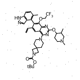 C=Cc1cc2c(N3CCC4(CC3)CN(C(=O)OC(C)(C)C)C4)nc(OC3CCN(C)CC3C)nc2c(OCC(F)(F)F)c1-c1c(C)ccc2[nH]ncc12